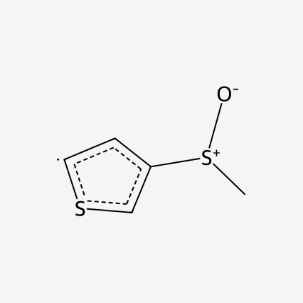 C[S+]([O-])c1c[c]sc1